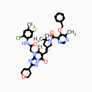 CCc1c(/C=C2/CN(C(=O)c3ncnc(C)c3OCc3ccccc3)C(C)(C)C2)c(=O)n2nc(C3=CCOCC3)nc2n1CC(=O)Nc1cc(F)c(C(F)(F)F)cc1Cl